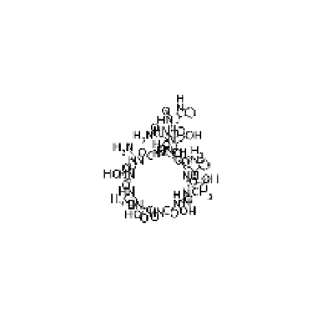 CC1NC(=O)C(CC(=O)O)NC(=O)C(CCCN)NC(=O)CNC(=O)C(NC(=O)C(CC(=O)O)NC(=O)C(CC(N)=O)NC(=O)C(Cc2c[nH]c3ccccc23)NC=O)C(C)OC(=O)C(CC(=O)c2ccccc2N)NC(=O)C(C(C)CC(=O)O)NC(=O)C(CO)NC(=O)CNC(=O)CC(C(=O)O)NC1=O